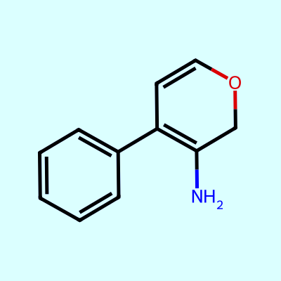 NC1=C(c2ccccc2)C=COC1